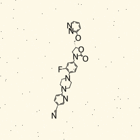 N#Cc1ccc(N2CCN(c3ccc(N4C[C@H](COc5cccnn5)OC4=O)cc3F)CC2)nc1